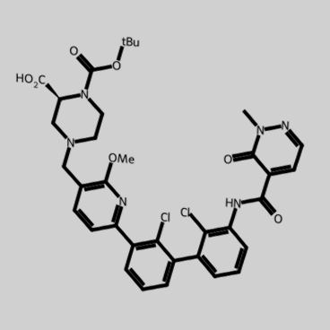 COc1nc(-c2cccc(-c3cccc(NC(=O)c4ccnn(C)c4=O)c3Cl)c2Cl)ccc1CN1CCN(C(=O)OC(C)(C)C)[C@H](C(=O)O)C1